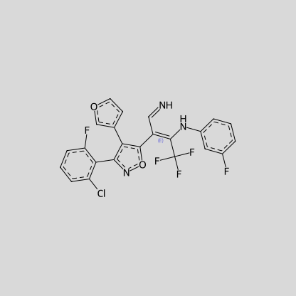 N=C/C(=C(\Nc1cccc(F)c1)C(F)(F)F)c1onc(-c2c(F)cccc2Cl)c1-c1ccoc1